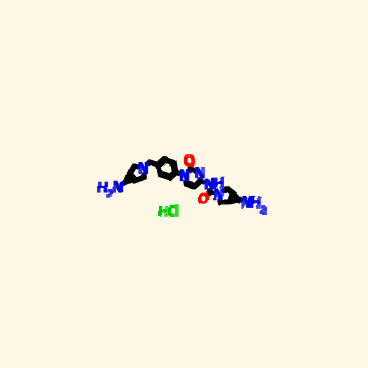 Cl.NC1C2CN(Cc3ccc(-n4ccc(NC(=O)N5CC6C(N)C6C5)nc4=O)cc3)CC12